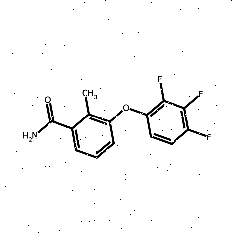 Cc1c(Oc2ccc(F)c(F)c2F)cccc1C(N)=O